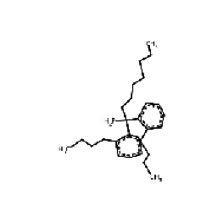 CCCCCCCC(P)(c1ccccc1CCCC)c1ccccc1CCCC